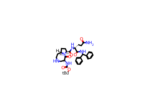 CC(C)(C)OC(=O)N[C@H]1CNCC[C@H]2CC[C@@H](C(=O)N[C@H](CCC(N)=O)C(=O)NC(c3ccccc3)c3ccccc3)N2C1=O